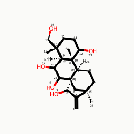 C=C1C(O)[C@@]23C[C@H]1CC[C@@H]2[C@@]1(C)C(O)CCC(C)(CO)[C@@H]1C(O)C3O